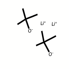 CC(C)(C)[O-].CC(C)(C)[O-].[Li+].[Li+]